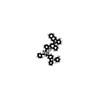 c1ccc(-c2nc(-c3ccc4c(c3)c3ccccc3n4-c3ccccc3)nc(-c3cccc4c3oc3c5ccccc5c(-n5c6ccccc6c6cc7ccccc7cc65)cc43)n2)cc1